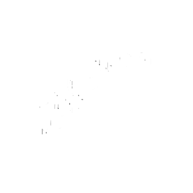 CC(C)c1ccc(N(C)C)cc1N1C(=O)CSC1=NC(=O)Nc1ccc(-c2ncn(-c3ccc(OC(F)(F)F)cc3)n2)cc1Br